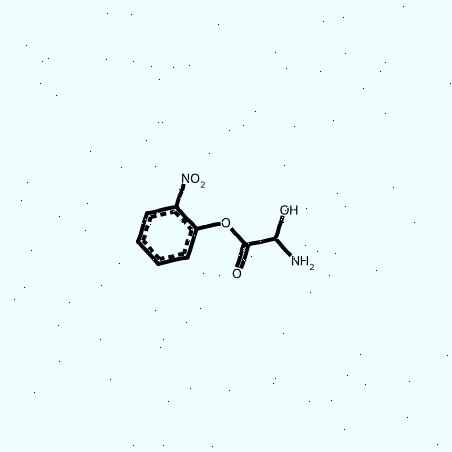 NC(O)C(=O)Oc1ccccc1[N+](=O)[O-]